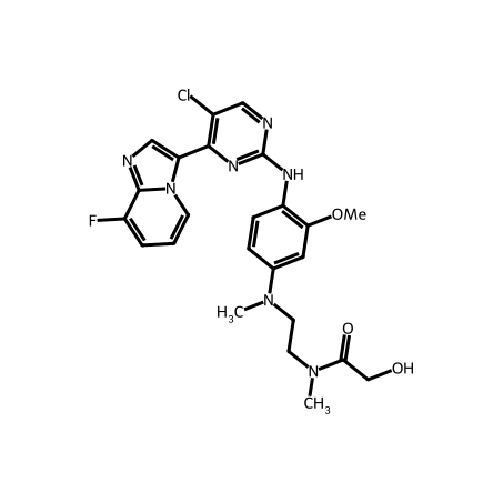 COc1cc(N(C)CCN(C)C(=O)CO)ccc1Nc1ncc(Cl)c(-c2cnc3c(F)cccn23)n1